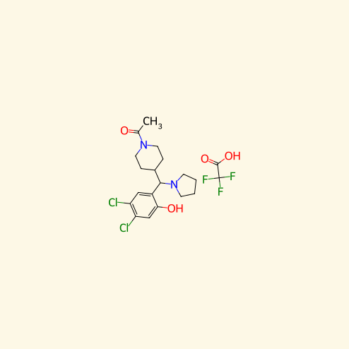 CC(=O)N1CCC(C(c2cc(Cl)c(Cl)cc2O)N2CCCC2)CC1.O=C(O)C(F)(F)F